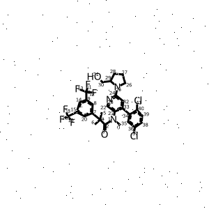 CN(C(=O)C(C)(C)c1cc(C(F)(F)F)cc(C(F)(F)F)c1)c1cnc(N2CCCC2CO)cc1-c1cc(Cl)ccc1Cl